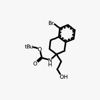 CC(C)(C)OC(=O)NC1(CCO)CCc2c(Br)cccc2C1